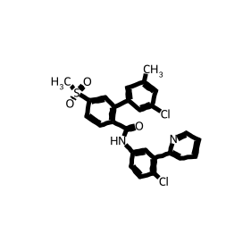 Cc1cc(Cl)cc(-c2cc(S(C)(=O)=O)ccc2C(=O)Nc2ccc(Cl)c(-c3ccccn3)c2)c1